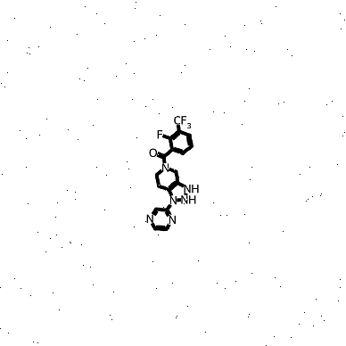 O=C(c1cccc(C(F)(F)F)c1F)N1CCC2=C(C1)NNN2c1cnccn1